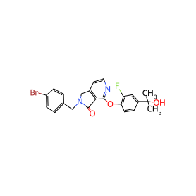 CC(C)(O)c1ccc(Oc2nccc3c2C(=O)N(Cc2ccc(Br)cc2)C3)c(F)c1